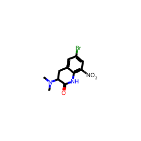 CN(C)C1Cc2cc(Br)cc([N+](=O)[O-])c2NC1=O